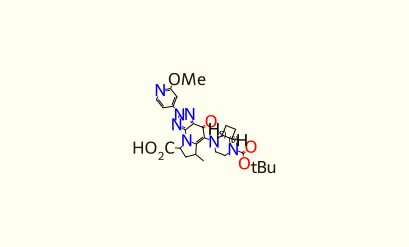 COc1cc(-n2nc3c(=O)c(N4CCN(C(=O)OC(C)(C)C)[C@H]5CC[C@@H]54)c4n(c3n2)C(C(=O)O)CC4C)ccn1